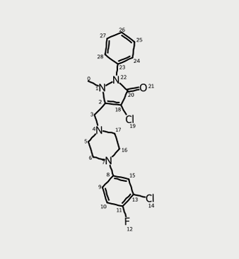 Cn1c(CN2CCN(c3ccc(F)c(Cl)c3)CC2)c(Cl)c(=O)n1-c1ccccc1